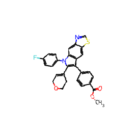 COC(=O)c1ccc(-c2c(C3=CCOCC3)n(-c3ccc(F)cc3)c3cc4ncsc4cc23)cc1